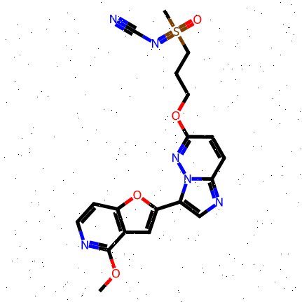 COc1nccc2oc(-c3cnc4ccc(OCCCS(C)(=O)=NC#N)nn34)cc12